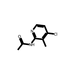 CC(=O)Nc1nccc(Cl)c1C